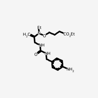 C=C(CNC(=O)NCc1ccc(N)cc1)N(CC)OCCCC(=O)OCC